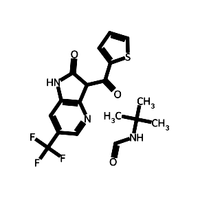 CC(C)(C)NC=O.O=C1Nc2cc(C(F)(F)F)cnc2C1C(=O)c1cccs1